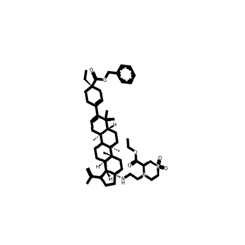 C=C(C)C1CC[C@]2(NCCN3CCS(=O)(=O)CC3C(=O)OCC)CC[C@]3(C)[C@H](CCC4[C@@]5(C)CC=C(C6=CC[C@@](CC)(C(=O)OCc7ccccc7)CC6)C(C)(C)[C@@H]5CC[C@]43C)[C@@H]12